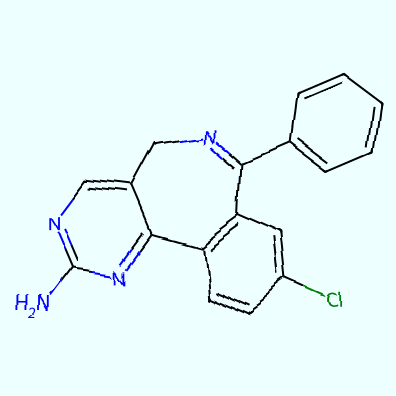 Nc1ncc2c(n1)-c1ccc(Cl)cc1C(c1ccccc1)=NC2